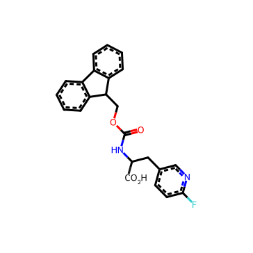 O=C(NC(Cc1ccc(F)nc1)C(=O)O)OCC1c2ccccc2-c2ccccc21